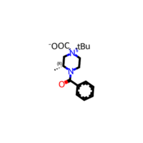 C[C@@H]1C[N+](C(=O)[O-])(C(C)(C)C)CCN1C(=O)c1ccccc1